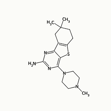 CN1CCN(c2nc(N)nc3c4c(sc23)CCC(C)(C)C4)CC1